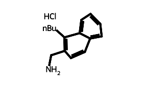 CCCCc1c(CN)ccc2ccccc12.Cl